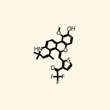 COc1c(O)ccc2c1-c1ccc3c(c1/C(=C/c1sccc1C(=O)C(F)(F)F)O2)C(C)=CC(C)(C)N3